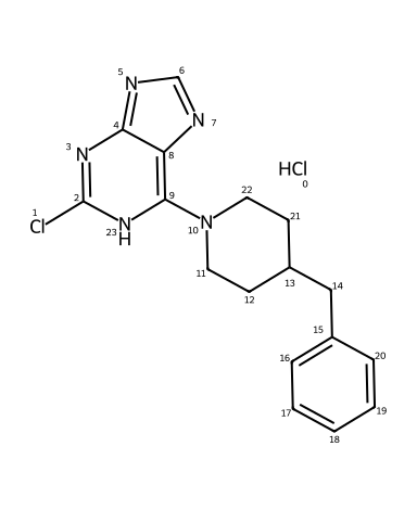 Cl.Clc1nc2ncnc-2c(N2CCC(Cc3ccccc3)CC2)[nH]1